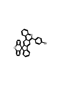 Brc1ccc(-c2nc3ccccc3c3cc4c(cc23)-c2ccccc2C42c3ccccc3Oc3ccccc32)cc1